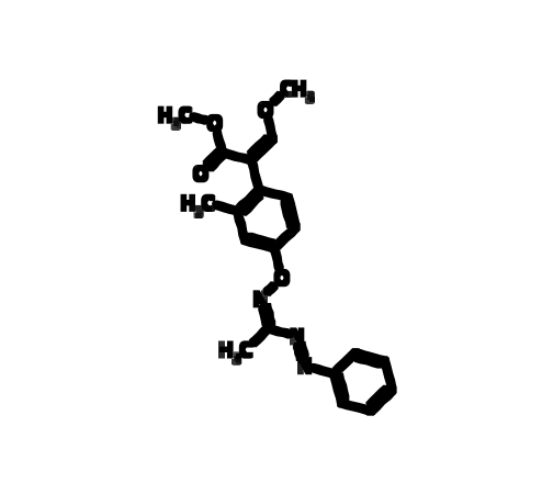 COC=C(C(=O)OC)c1ccc(ON=C(C)N=Nc2ccccc2)cc1C